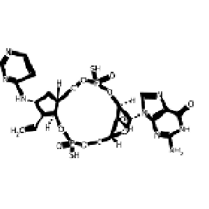 C=C[C@@H]1[C@@H]2OP(=O)(S)OC[C@H]3O[C@@H](n4cnc5c(=O)[nH]c(N)nc54)[C@H](OP(=O)(S)OC[C@H]2C[C@H]1Nc1ccncn1)[C@@H]3O